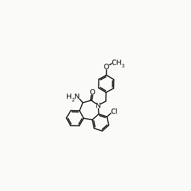 COc1ccc(CN2C(=O)C(N)c3ccccc3-c3cccc(Cl)c32)cc1